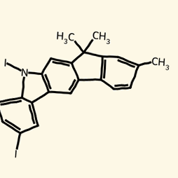 Cc1ccc2c(c1)C(C)(C)c1cc3c(cc1-2)c1cc(I)ccc1n3I